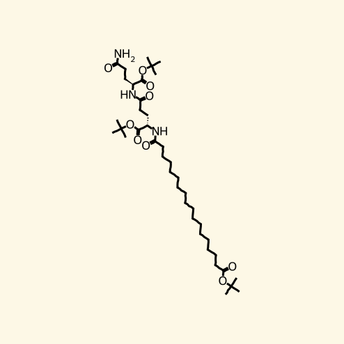 CC(C)(C)OC(=O)CCCCCCCCCCCCCCCCC(=O)N[C@@H](CCC(=O)N[C@@H](CCC(N)=O)C(=O)OC(C)(C)C)C(=O)OC(C)(C)C